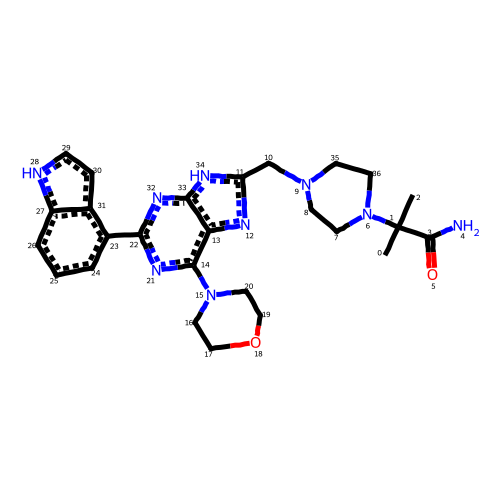 CC(C)(C(N)=O)N1CCN(Cc2nc3c(N4CCOCC4)nc(-c4cccc5[nH]ccc45)nc3[nH]2)CC1